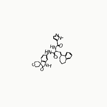 Cn1nccc1C(=O)NC(C=C1CCCCc2ccccc21)C(=O)Nc1ccc2c(c1)NC(=O)C21CCOCC1